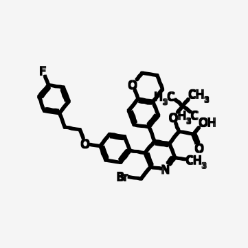 Cc1nc(CBr)c(-c2ccc(OCCc3ccc(F)cc3)cc2)c(-c2ccc3c(c2)CCCO3)c1C(OC(C)(C)C)C(=O)O